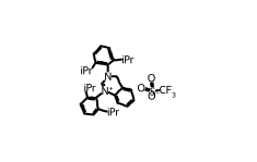 CC(C)c1cccc(C(C)C)c1N1C=[N+](c2c(C(C)C)cccc2C(C)C)c2ccccc2C1.O=S(=O)([O-])C(F)(F)F